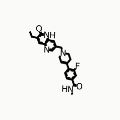 CCc1cc2ncc(CN3CC=C(c4ccc(C(=O)NC)cc4F)CC3)cc2[nH]c1=O